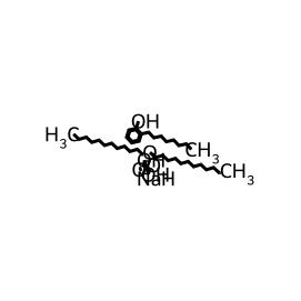 CCCCCCCCCCCCOCCCCCCCCCCCC.CCCCCCCCc1ccccc1O.O=S(=O)(O)O.[NaH]